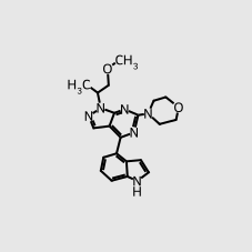 COCC(C)n1ncc2c(-c3cccc4[nH]ccc34)nc(N3CCOCC3)nc21